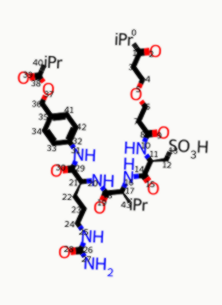 CC(C)C(=O)CCOCCC(=O)N[C@@H](CS(=O)(=O)O)C(=O)N[C@H](C(=O)N[C@@H](CCCNC(N)=O)C(=O)Nc1ccc(COC(=O)C(C)C)cc1)C(C)C